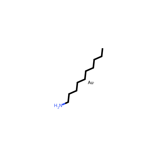 CCCCCCCCCCN.[Au]